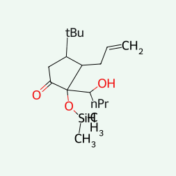 C=CCC1C(C(C)(C)C)CC(=O)C1(O[SiH](C)C)C(O)CCC